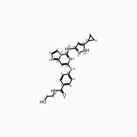 O=C(NCCO)c1ccc(Sc2cc3nccn3c(Nc3cc(C4CC4)[nH]n3)n2)cc1